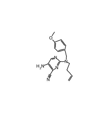 C=CCCN(Cc1ccc(OC)cc1)c1ncc(N)c(C#N)n1